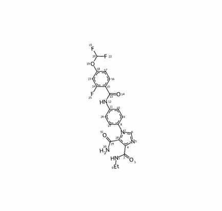 CCNC(=O)c1ncn(-c2ccc(NC(=O)c3ccc(OC(F)F)cc3F)cc2)c1C(N)=O